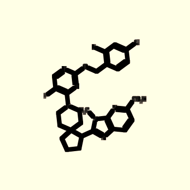 Cn1c(C2CCCC23CCN(c2nc(OCc4ccc(Cl)cc4F)ncc2F)CC3)nc2ccc(C(=O)O)nc21